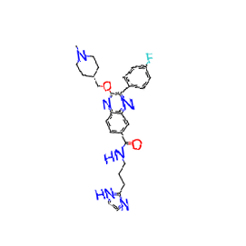 CN1CCC(COc2nc3ccc(C(=O)NCCCc4ncc[nH]4)cc3nc2-c2ccc(F)cc2)CC1